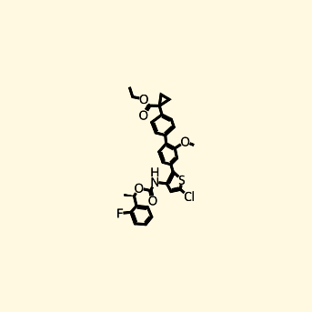 CCOC(=O)C1(c2ccc(-c3ccc(-c4sc(Cl)cc4NC(=O)O[C@H](C)c4ccccc4F)cc3OC)cc2)CC1